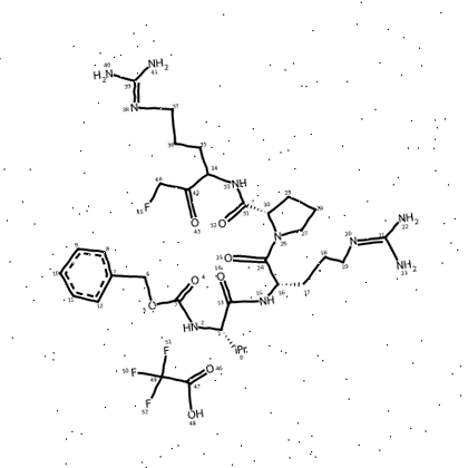 CC(C)[C@H](NC(=O)OCc1ccccc1)C(=O)N[C@@H](CCCN=C(N)N)C(=O)N1CCC[C@H]1C(=O)NC(CCCN=C(N)N)C(=O)CF.O=C(O)C(F)(F)F